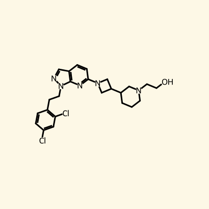 OCCN1CCCC(C2CN(c3ccc4cnn(CCc5ccc(Cl)cc5Cl)c4n3)C2)C1